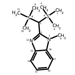 Cn1c(C(S(C)(C)C)S(C)(C)C)nc2ccccc21